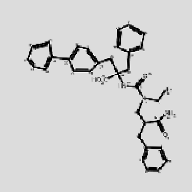 CC(C)CN(CC(Cc1ccccc1)C(N)=O)C(=O)N[C@@](Cc1ccccc1)(Cc1ccc(-c2ccccc2)cc1)C(=O)O